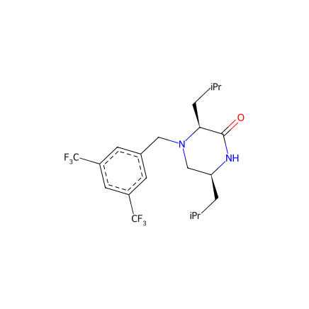 CC(C)C[C@H]1CN(Cc2cc(C(F)(F)F)cc(C(F)(F)F)c2)[C@@H](CC(C)C)C(=O)N1